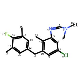 CCN(C)/C=N\c1cc(Cl)cc(Cc2cc(C)c(F)c(C)c2)c1C